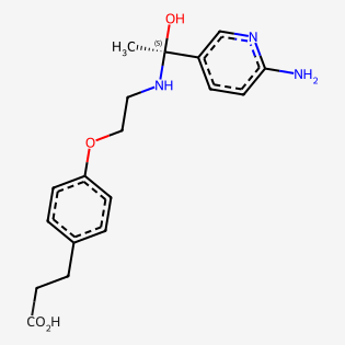 C[C@@](O)(NCCOc1ccc(CCC(=O)O)cc1)c1ccc(N)nc1